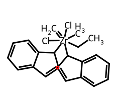 [CH2]=[Zr]([CH3])([Cl])([Cl])([CH2]C)([CH]1C=Cc2ccccc21)[CH]1C=Cc2ccccc21